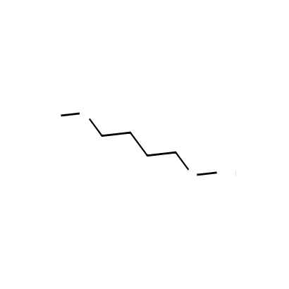 [CH2]CCCSCCCCO[S]